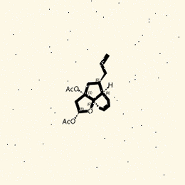 C=CC[C@@H]1C[C@]2(OC(C)=O)C[C@@H](OC(C)=O)O[C@@]23CC=CC[C@H]13